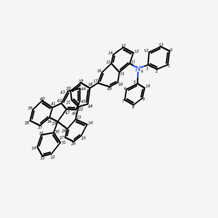 c1ccc(N(c2ccccc2)c2cccc3cc(-c4cccc(-c5ccccc5C5(c6ccccc6)c6ccccc6-c6ccccc65)c4)ccc23)cc1